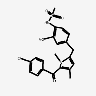 Cc1cc(Cc2ccc(NS(C)(=O)=O)c(O)c2)n(C)c1C(=O)c1ccc(Cl)cc1